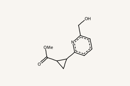 COC(=O)C1CC1c1cccc(CO)n1